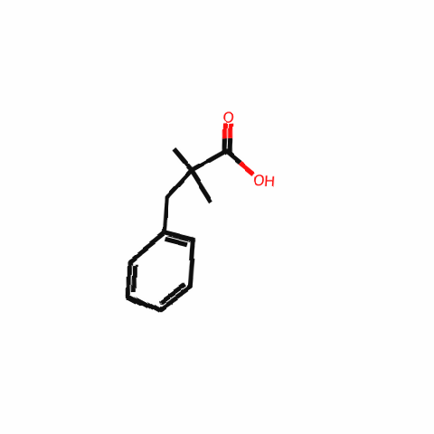 CC(C)(Cc1ccccc1)C(=O)O